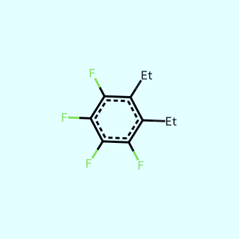 CCc1c(F)c(F)c(F)c(F)c1CC